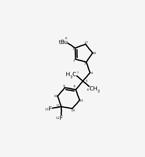 CC(C)(C)C1=CC(CC(C)(C)C2=CCC(F)(F)CC2)CC1